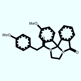 COc1ccc(CC(=O)N2CCN3C(=O)c4ccccc4C23c2ccc(OC)cc2)cc1